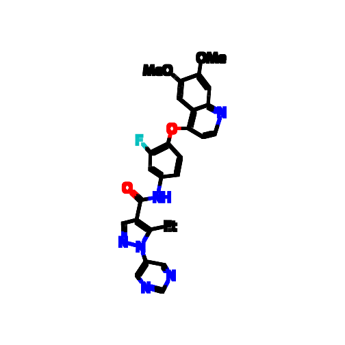 CCc1c(C(=O)Nc2ccc(Oc3ccnc4cc(OC)c(OC)cc34)c(F)c2)cnn1-c1cncnc1